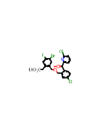 CCOC(=O)Cc1cc(F)c(Br)cc1COCc1cc(Cl)ccc1C(O)c1cccc(Cl)n1